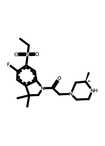 CCS(=O)(=O)c1cc2c(cc1F)C(C)(C)CN2C(=O)CN1CCN[C@H](C)C1